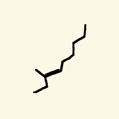 [CH2]C/C(C)=C/CCCCC